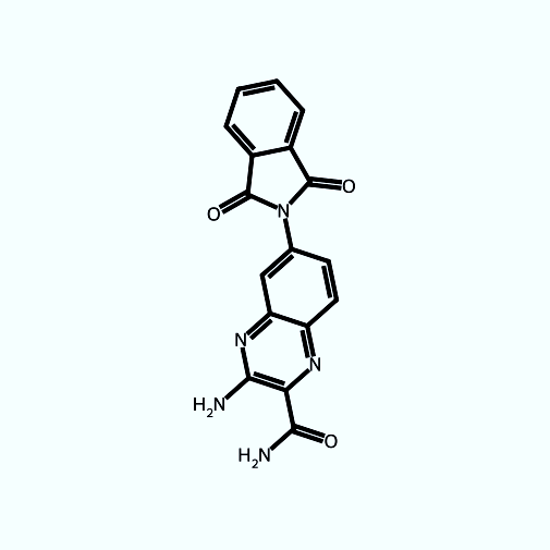 NC(=O)c1nc2ccc(N3C(=O)c4ccccc4C3=O)cc2nc1N